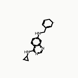 [CH]1C=C(CNc2ccc3c(NC4CC4)ncnc3c2)C=CC1